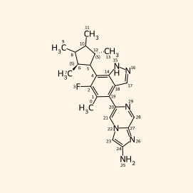 Cc1c(F)c(C2[C@@H](C)C(C)C(C)[C@@H]2C)c2[nH]ncc2c1-c1cn2cc(N)nc2cn1